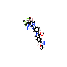 C=CC(=O)Nc1ccc2c(c1)C(=O)N([C@H]1CCC[C@@H](Nc3ncc(Br)c(C(F)(F)F)n3)C1)C2